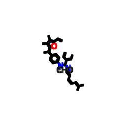 C=CC(=C\C)/C(=N/C=C/C=C\C=C(C)C)N(C=O)c1ccc(/C(C)=c2\oc(C=C)c(C)c2=C)cc1